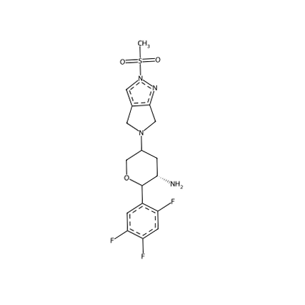 CS(=O)(=O)n1cc2c(n1)CN(C1COC(c3cc(F)c(F)cc3F)[C@@H](N)C1)C2